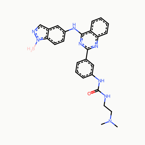 Bn1ncc2cc(Nc3nc(-c4cccc(NC(=O)NCCN(C)C)c4)nc4ccccc34)ccc21